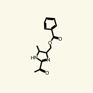 CC(=O)C1=NC(COC(=O)c2ccccc2)C(C)N1